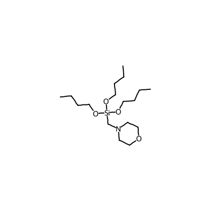 CCCCO[Si](CN1CCOCC1)(OCCCC)OCCCC